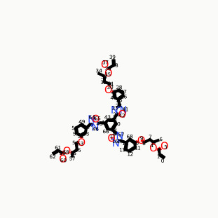 C=CC(=O)OC(C)CCOc1cccc(-c2noc(-c3cc(-c4nc(-c5cccc(OCCC(C)OC(=O)C=C)c5)no4)cc(-c4nc(-c5cccc(OCCC(C)OC(=O)C=C)c5)no4)c3)n2)c1